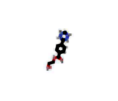 O=C(OCCO)c1ccc(-c2nncnn2)cc1